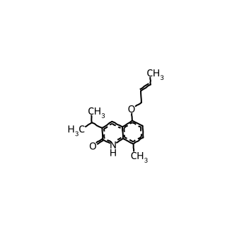 CC=CCOc1ccc(C)c2[nH]c(=O)c(C(C)C)cc12